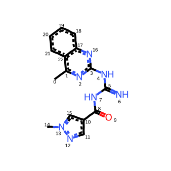 Cc1nc(NC(=N)NC(=O)c2cnn(C)c2)nc2ccccc12